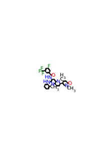 Cc1ccccc1Nc1nc2ccc(-c3cn(C)c(=O)cc3C)nc2cc1NC(=O)c1cc(F)cc(C(F)(F)F)c1